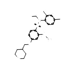 Cc1ccc(N(CC(C)C)S(=O)(=O)c2ccc(OCC3CCOCC3)cc2OC(C)C)c(C)c1